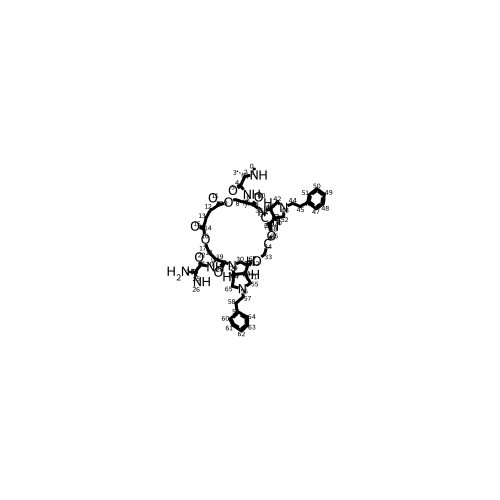 CN[C@@H](C)C(=O)N[C@H]1COC(=O)CCC(=O)OCC[C@H](NC(=O)[C@H](N)NC)C(=O)N2C[C@@H](OCCO[C@@H]3CN(C1=O)[C@@H]1CN(CCc4ccccc4)C[C@@H]13)[C@H]1CN(CCc3ccccc3)C[C@H]12